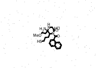 COCC[C@]1(N)NCCN(C(=O)c2cccc3ccccc23)C1CCCS.Cl.Cl